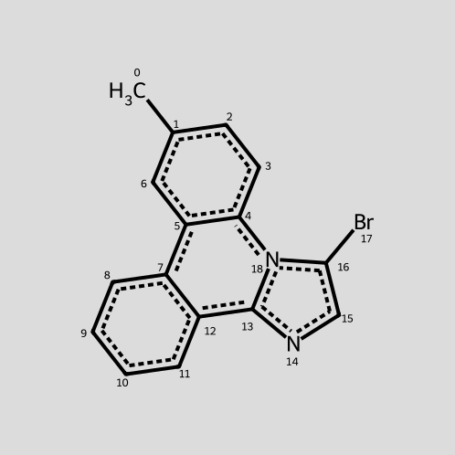 Cc1ccc2c(c1)c1ccccc1c1ncc(Br)n21